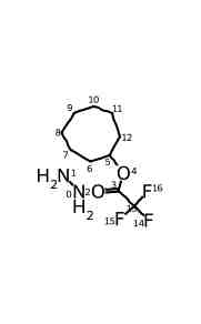 NN.O=C(OC1CCCCCCC1)C(F)(F)F